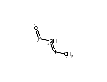 C/N=[SiH]/P=O